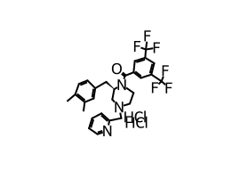 Cc1ccc(C[C@@H]2CN(Cc3ccccn3)CCN2C(=O)c2cc(C(F)(F)F)cc(C(F)(F)F)c2)cc1C.Cl.Cl